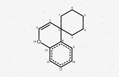 C1=CC2(CCCCC2)c2ccccc2O1